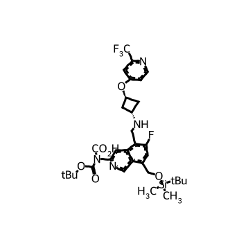 CC(C)(C)OC(=O)N(C(=O)O)c1cc2c(CN[C@H]3C[C@H](Oc4ccnc(C(F)(F)F)c4)C3)c(F)cc(CO[Si](C)(C)C(C)(C)C)c2cn1